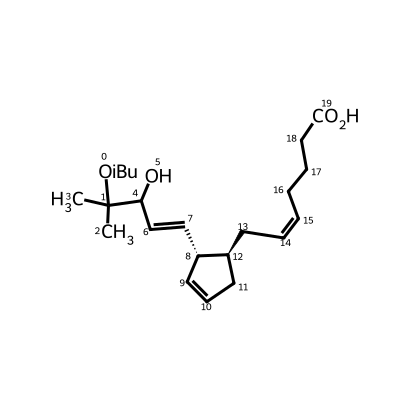 CC(C)COC(C)(C)C(O)C=C[C@H]1C=CC[C@@H]1C/C=C\CCCC(=O)O